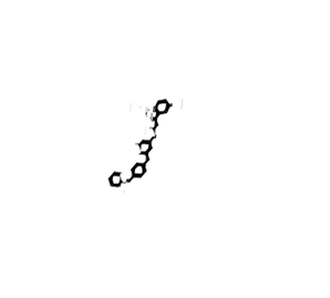 Cn1nc(CNC(=O)c2cncc(Cc3ccc(Cn4ccccc4=O)cc3)c2)c2cc(Cl)ccc21